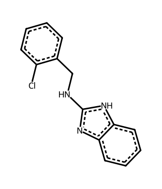 Clc1ccccc1CNc1nc2ccccc2[nH]1